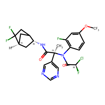 C[C@@](C(=O)N[C@@H]1C[C@@H]2CC1CC2(F)F)(c1cncnc1)N(C(=O)[C@H](F)Cl)c1ccc(OC(F)(F)F)cc1F